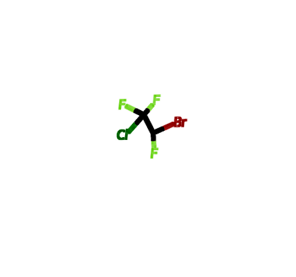 FC(Br)C(F)(F)Cl